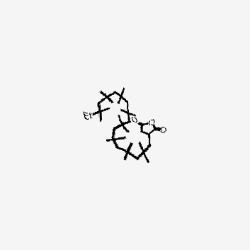 CCC(C)(C)CC(C)(C)CC(C)(C)CC(C)(C)CC(C)(C)CC(C)(C)CC(C)(C)CC(C)(C)CC1CC(=O)OC1=O